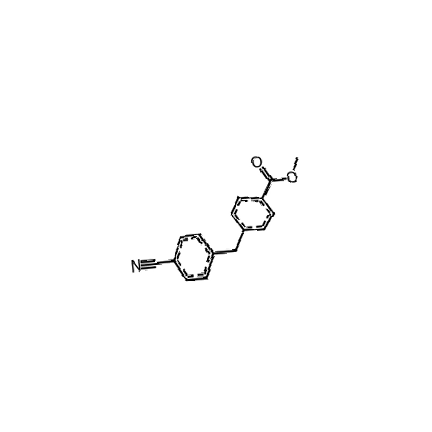 COC(=O)c1ccc(Cc2ccc(C#N)cc2)cc1